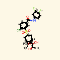 C[C@@H](O)[C@H](O)[C@@]1(O)[C@H]2C[C@@H](S(=O)(=O)c3cc(C(=O)Nc4ccc(F)c(F)c4)ccc3Cl)C[C@@H]1[C@@H](C)C2